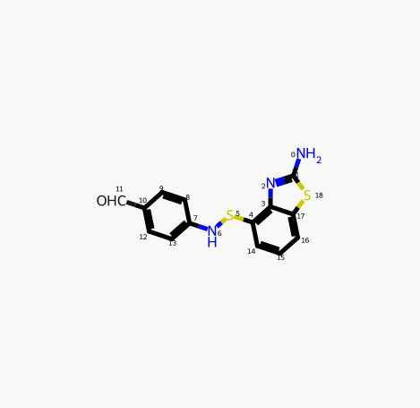 Nc1nc2c(SNc3ccc(C=O)cc3)cccc2s1